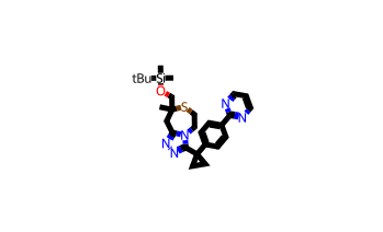 CC1(CO[Si](C)(C)C(C)(C)C)Cc2nnc(C3(c4ccc(-c5ncccn5)cc4)CC3)n2CCS1